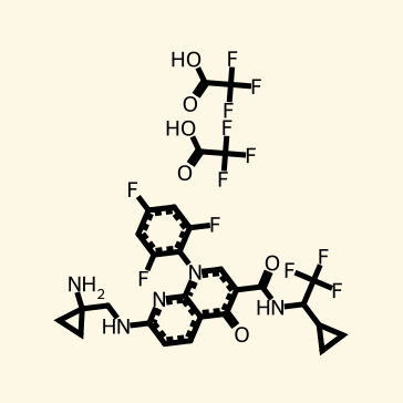 NC1(CNc2ccc3c(=O)c(C(=O)NC(C4CC4)C(F)(F)F)cn(-c4c(F)cc(F)cc4F)c3n2)CC1.O=C(O)C(F)(F)F.O=C(O)C(F)(F)F